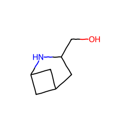 OCC1CC2CC(C2)N1